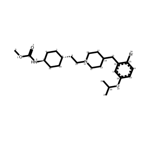 COC(=O)N[C@H]1CC[C@H](CCN2CCC(Cc3cc(OC(C)C)ccc3Br)CC2)CC1